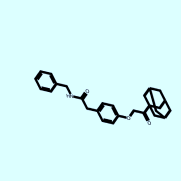 O=C(Cc1ccc(OCC(=O)C23CC4CC(CC(C4)C2)C3)cc1)NCc1ccccc1